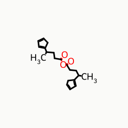 CC(CCC(=O)OC(=O)CCC(C)C1=CC=CC1)C1=CC=CC1